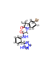 CC1(C)C(=O)N(CC(=O)Nc2ccccc2-c2nnn[nH]2)c2ccc(Br)cc21